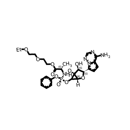 CCOCCOCCOC(=O)[C@H](C)NP(=O)(Oc1ccccc1)OC1[C@H]2O[C@@H](c3ccc4c(N)ncnn34)[C@H](O)[C@@]12O